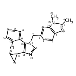 Cc1nc2ccc(Cn3cnc(C4CC4)c3-c3ccccc3Cl)cc2n1C